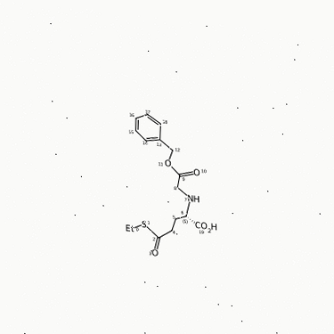 CCSC(=O)CC[C@H](NCC(=O)OCc1ccccc1)C(=O)O